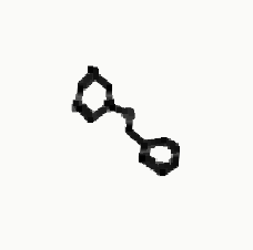 C1=NC=NCN1OCc1ccccc1